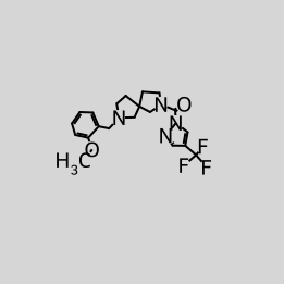 COc1ccccc1CN1CCC2(CCN(C(=O)n3cc(C(F)(F)F)cn3)C2)C1